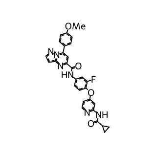 COc1ccc(-c2cc(C(=O)Nc3ccc(Oc4ccnc(NC(=O)C5CC5)c4)c(F)c3)nc3ccnn23)cc1